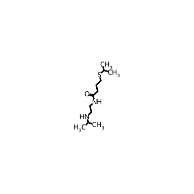 CC(C)NCCNC(=O)CCCSC(C)C